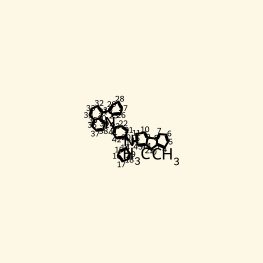 CC1(C)c2ccccc2-c2ccc(N(c3ccccc3)c3ccc(N4c5ccccc5-c5cccc6cccc4c56)cc3)cc21